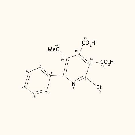 CCc1nc(-c2ccccc2)c(OC)c(C(=O)O)c1C(=O)O